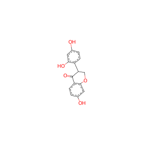 O=C1c2ccc(O)cc2OCC1c1ccc(O)cc1O